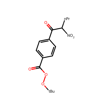 CCCC(C(=O)c1ccc(C(=O)OOC(C)(C)C)cc1)[N+](=O)[O-]